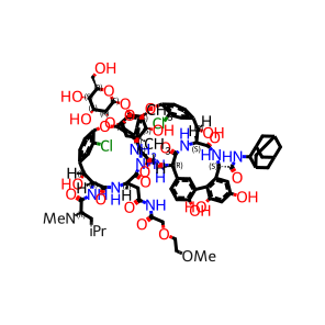 CN[C@H](CC(C)C)C(=O)N[C@H]1C(=O)N[C@@H](CC(=O)NC(=O)COCCOC)C(=O)N[C@H]2C(=O)N[C@H]3C(=O)N[C@H](C(=O)N[C@H](C(=O)NC4C5CC6CC(C5)CC4C6)c4cc(O)cc(O)c4-c4cc3ccc4O)[C@H](O)c3ccc(c(Cl)c3)Oc3cc2cc(c3O[C@@H]2O[C@H](CO)[C@@H](O)[C@H](O)[C@H]2O[C@H]2C[C@](C)(N)[C@H](O)[C@H](C)O2)Oc2ccc(cc2Cl)[C@H]1O